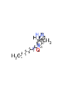 CCCCCCC/C=C/C(=O)N1CCC(C(C)(C)CN)CC1